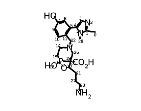 Cc1ncc(-c2cc(O)ccc2CN2CCP(=O)(O)[C@](CCCCN)(C(=O)O)C2)n1C